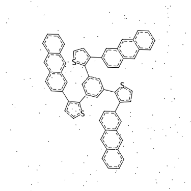 c1ccc2cc3cc(-c4ccsc4-c4cc(-c5sccc5-c5ccc6cc7ccccc7cc6c5)cc(-c5sccc5-c5ccc6cc7ccccc7cc6c5)c4)ccc3cc2c1